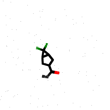 COC(=O)C1CC2C(C1)C2(F)F